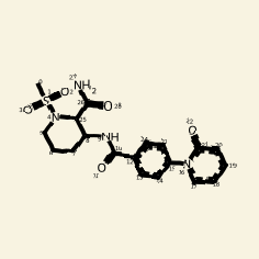 CS(=O)(=O)N1CC[CH]C(NC(=O)c2ccc(-n3ccccc3=O)cc2)C1C(N)=O